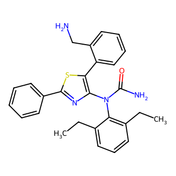 CCc1cccc(CC)c1N(C(N)=O)c1nc(-c2ccccc2)sc1-c1ccccc1CN